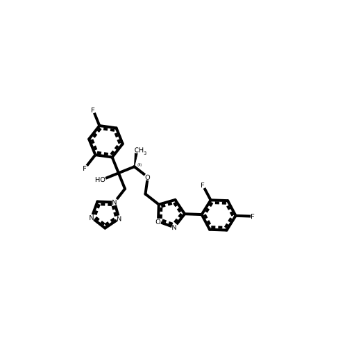 C[C@@H](OCc1cc(-c2ccc(F)cc2F)no1)C(O)(Cn1cncn1)c1ccc(F)cc1F